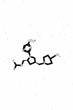 O=C(O)c1cnc(N2C[C@@H](CN3CCC(C(F)(F)F)CC3)C[C@H]2COC(F)F)s1